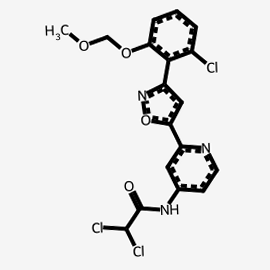 COCOc1cccc(Cl)c1-c1cc(-c2cc(NC(=O)C(Cl)Cl)ccn2)on1